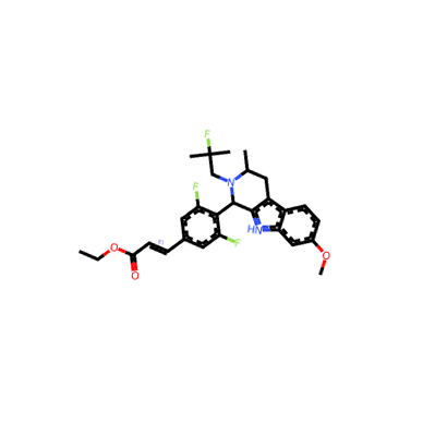 CCOC(=O)/C=C/c1cc(F)c(C2c3[nH]c4cc(OC)ccc4c3CC(C)N2CC(C)(C)F)c(F)c1